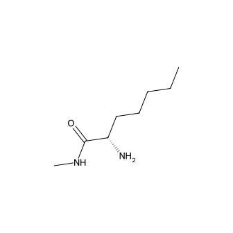 CCCCC[C@H](N)C(=O)NC